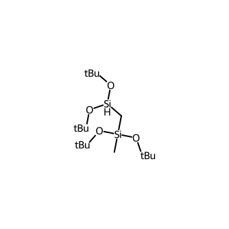 CC(C)(C)O[SiH](C[Si](C)(OC(C)(C)C)OC(C)(C)C)OC(C)(C)C